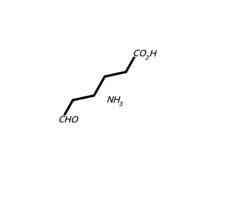 N.O=CCCCCC(=O)O